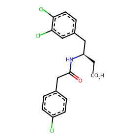 O=C(O)C[C@H](Cc1ccc(Cl)c(Cl)c1)NC(=O)Cc1ccc(Cl)cc1